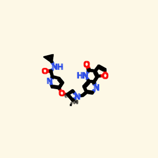 C[C@@H]1[C@@H](Oc2ccc(C(=O)NC3CC3)nc2)CN1Cc1cnc2c(c1)[nH]c(=O)c1ccoc12